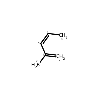 BC(=C)/C=C\C